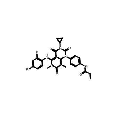 CCC(=O)Nc1ccc(-n2c(=O)n(C3CC3)c(=O)c3c(Nc4ccc(Br)cc4F)n(C)c(=O)c(C)c32)cc1